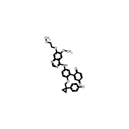 COCCOc1cc2ncnc(Nc3ccc(OCC4(c5ccc(Cl)cc5)CC4)c(C4=CC(=O)C=CC4=O)c3)c2cc1OC